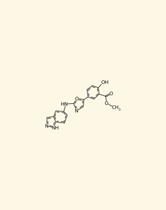 COC(=O)c1cc(-c2cnc(Nc3ccc4[nH]ncc4c3)o2)ccc1O